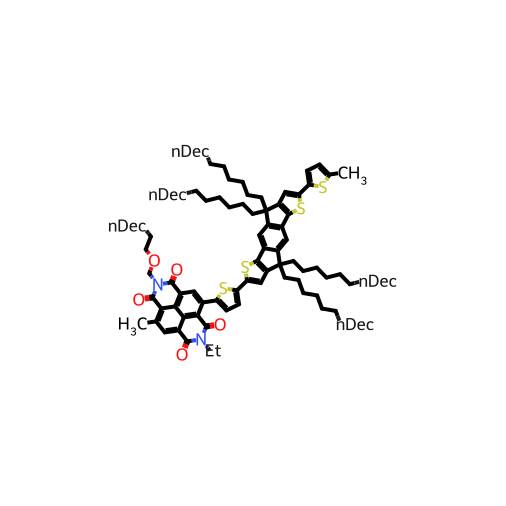 CCCCCCCCCCCCCCCCC1(CCCCCCCCCCCCCCCC)c2cc3c(cc2-c2sc(-c4ccc(C)s4)cc21)C(CCCCCCCCCCCCCCCC)(CCCCCCCCCCCCCCCC)c1cc(-c2ccc(-c4cc5c6c(c(C)cc7c6c4C(=O)N(CC)C7=O)C(=O)N(COCCCCCCCCCCCC)C5=O)s2)sc1-3